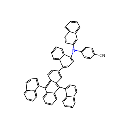 N#Cc1ccc(N(c2ccc3ccccc3c2)c2ccc(-c3ccc4c(-c5cccc6ccccc56)c5ccccc5c(-c5cccc6ccccc56)c4c3)c3ccccc23)cc1